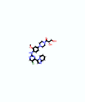 COc1cc(N2CCN(C(=O)[C@@H](O)CO)CC2)ccc1Nc1ncc(Cl)c(-c2cnc3ccccn23)n1